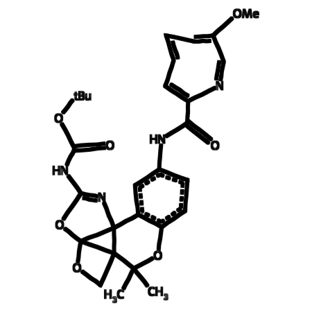 COC1=C\C=C\C=C(C(=O)Nc2ccc3c(c2)C24N=C(NC(=O)OC(C)(C)C)OC25OCC54C(C)(C)O3)/N=C\1